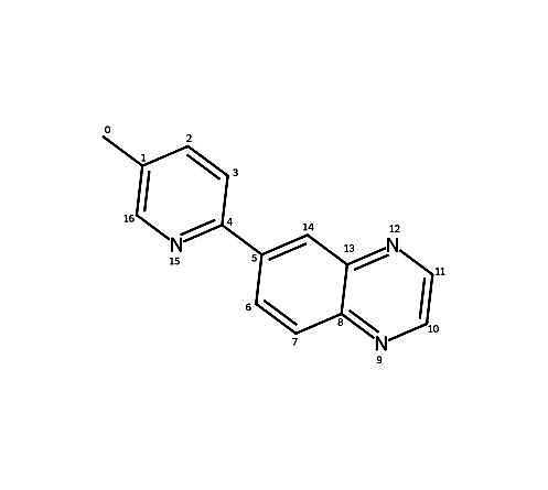 Cc1ccc(-c2ccc3nccnc3c2)nc1